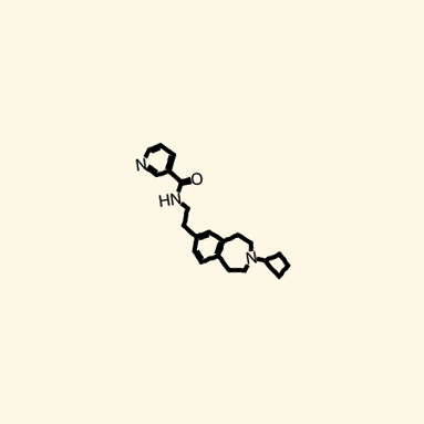 O=C(NCCc1ccc2c(c1)CCN(C1CCC1)CC2)c1cccnc1